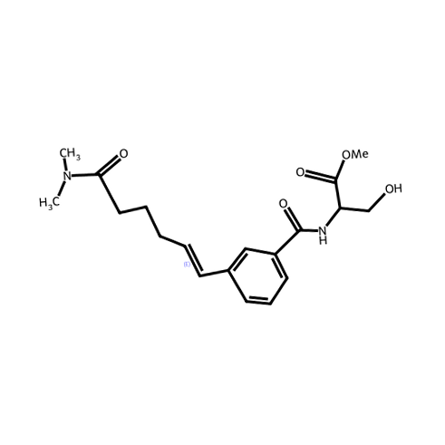 COC(=O)C(CO)NC(=O)c1cccc(/C=C/CCCC(=O)N(C)C)c1